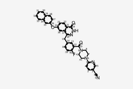 N#Cc1ccc(N2CCN(C(=O)c3cc(Cc4n[nH]c(=O)c5ccc(Oc6ccc7ccccc7c6)cc45)ccc3F)CC2)nc1